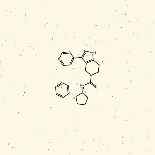 O=C(N[C@H]1CCC[C@@H]1c1ccccc1)N1CCc2[nH]nc(-c3ccncc3)c2C1